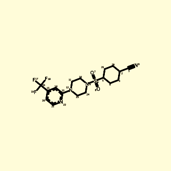 N#CC1CCC(S(=O)(=O)N2CCN(c3cc(C(F)(F)F)ccn3)CC2)CC1